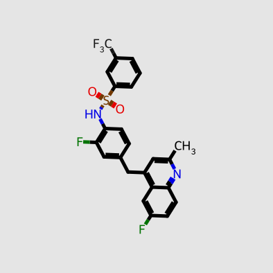 Cc1cc(Cc2ccc(NS(=O)(=O)c3cccc(C(F)(F)F)c3)c(F)c2)c2cc(F)ccc2n1